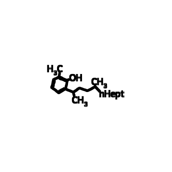 CCCCCCCC(C)CCC(C)c1cccc(C)c1O